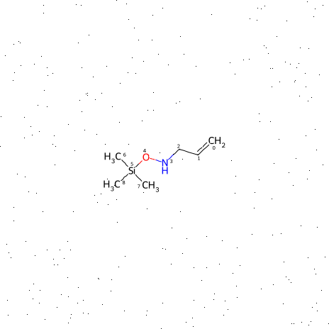 C=CCNO[Si](C)(C)C